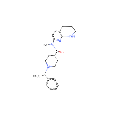 CCCN(C(=O)C1CCN(C(C(=O)O)c2ccccc2)CC1)c1ccc2c(n1)NCCC2